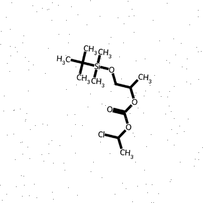 CC(Cl)OC(=O)OC(C)CO[Si](C)(C)C(C)(C)C